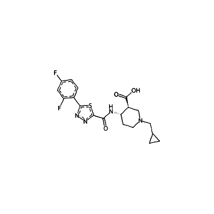 O=C(N[C@H]1CCN(CC2CC2)C[C@@H]1C(=O)O)c1nnc(-c2ccc(F)cc2F)s1